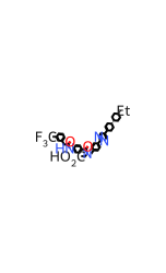 CC[C@H]1CC[C@H](C2CC=C(c3cnc(-c4ccc(CN(CC(=O)O)C(=O)c5ccc(NC(=O)Cc6cccc(C(F)(F)F)c6)cc5)cc4)nc3)CC2)CC1